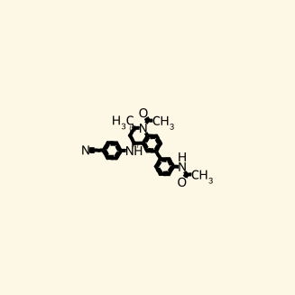 CC(=O)Nc1cccc(-c2ccc3c(c2)[C@H](Nc2ccc(C#N)cc2)C[C@H](C)N3C(C)=O)c1